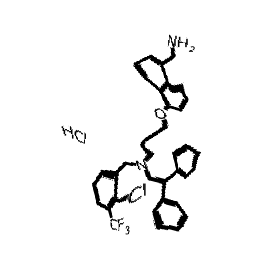 Cl.NCc1cccc2c(OCCCN(Cc3cccc(C(F)(F)F)c3Cl)CC(c3ccccc3)c3ccccc3)cccc12